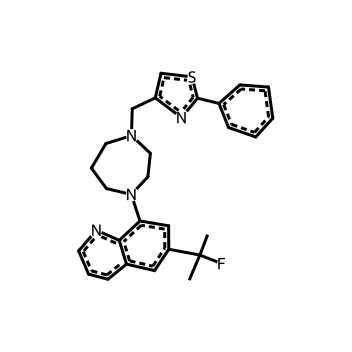 CC(C)(F)c1cc(N2CCCN(Cc3csc(-c4ccccc4)n3)CC2)c2ncccc2c1